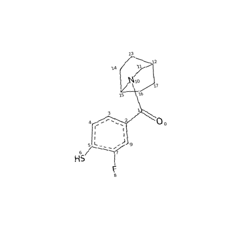 O=C(c1ccc(S)c(F)c1)N1CC2CCC1CC2